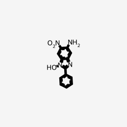 Nc1cc2nc(-c3ccccc3)n(O)c2cc1[N+](=O)[O-]